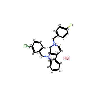 Br.Fc1ccc(CN2C=Cc3c(n(Cc4cccc(Cl)c4)c4ccccc34)C2)cc1